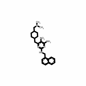 CN(C)CC1CCC(Cc2nc(NCc3cccc4ccccc34)nc(N)c2[N+](=O)[O-])CC1